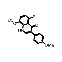 CCOc1ccc(F)c2c(=O)c(-c3ccc(OC)cc3)c[nH]c12